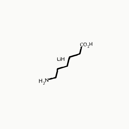 NCCCCCC(=O)O.[LiH]